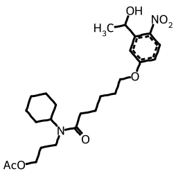 CC(=O)OCCCN(C(=O)CCCCCOc1ccc([N+](=O)[O-])c(C(C)O)c1)C1CCCCC1